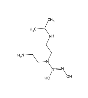 CC(C)NCCN(CCN)/[N+](O)=N/O